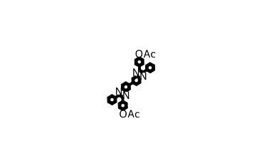 CC(=O)Oc1ccc(-c2nc3cc(-c4ccc5nc(-c6ccccc6)c(-c6ccc(OC(C)=O)cc6)nc5c4)ccc3nc2-c2ccccc2)cc1